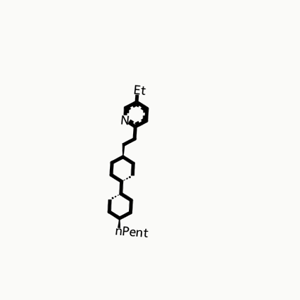 CCCCC[C@H]1CC[C@H]([C@H]2CC[C@H](CCc3ccc(CC)cn3)CC2)CC1